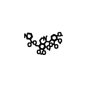 COc1ccc2c(c1OC)C(=O)O[C@@H]2[C@H]1c2c(c(COC(=O)c3cccnc3)c3c(c2OC)OCO3)CCN1C